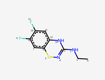 CCNC1=NSc2cc(F)c(F)cc2N1